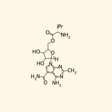 [2H]C1(n2cc(C(N)=O)c3c(N)nc(C)nc32)OC(COC(=O)[C@@H](N)C(C)C)C(O)C1O